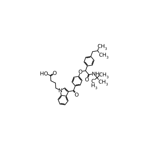 CC(C)Cc1ccc(C(Oc2ccc(C(=O)c3cn(CCCC(=O)O)c4ccccc34)cc2)C(=O)NC(C)(C)C)cc1